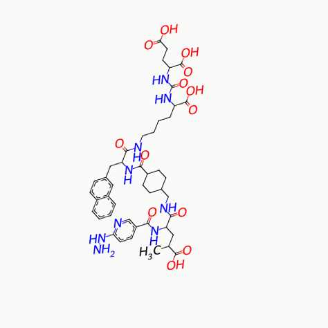 CC(CC(NC(=O)c1ccc(NN)nc1)C(=O)NCC1CCC(C(=O)NC(Cc2ccc3ccccc3c2)C(=O)NCCCCC(NC(=O)NC(CCC(=O)O)C(=O)O)C(=O)O)CC1)C(=O)O